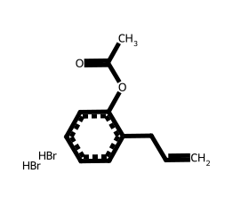 Br.Br.C=CCc1ccccc1OC(C)=O